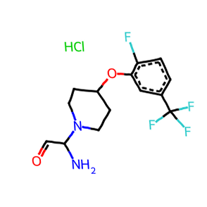 Cl.NC(C=O)N1CCC(Oc2cc(C(F)(F)F)ccc2F)CC1